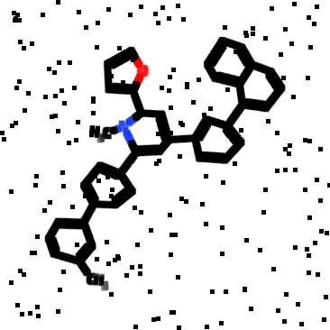 Cc1cccc(-c2ccc(C3=CC(c4cccc(-c5cccc6ccccc56)c4)=CC(c4ccco4)N3C)cc2)c1